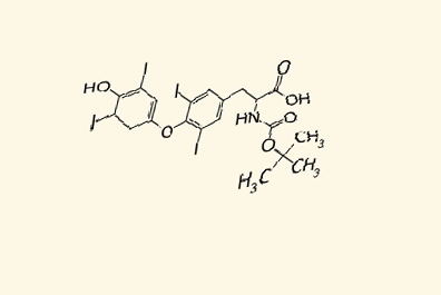 CC(C)(C)OC(=O)NC(Cc1cc(I)c(OC2=CC(I)=C(O)C(I)C2)c(I)c1)C(=O)O